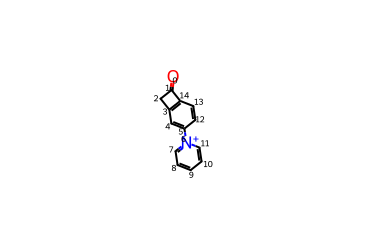 O=C1Cc2cc(-[n+]3ccccc3)ccc21